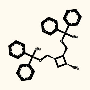 CC(C)(C)[Si](OC[C@H]1C[C@@H](N)[C@@H]1CO[Si](c1ccccc1)(c1ccccc1)C(C)(C)C)(c1ccccc1)c1ccccc1